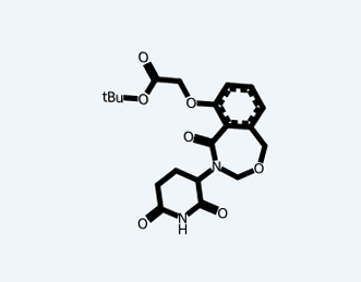 CC(C)(C)OC(=O)COc1cccc2c1C(=O)N(C1CCC(=O)NC1=O)COC2